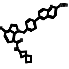 COc1ccc2cc(-c3ccc(Cn4ccc5c(F)ccc(C(=O)NC6CC7(CCC7)C6)c54)cc3)ccc2n1